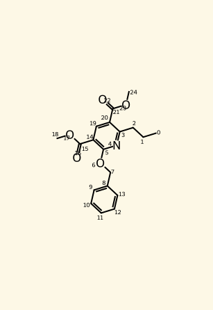 CCCc1nc(OCc2ccccc2)c(C(=O)OC)cc1C(=O)OC